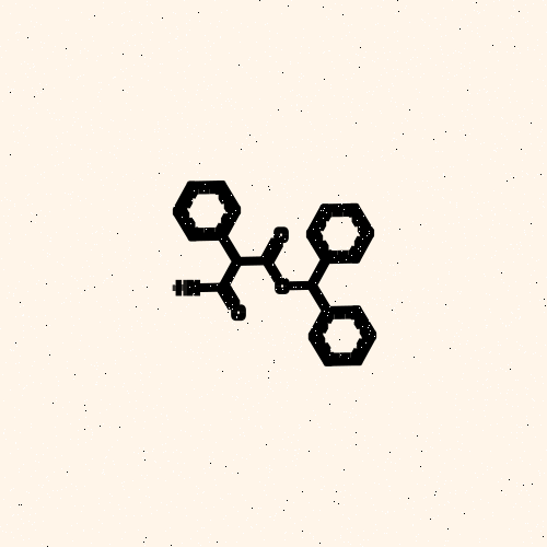 [NH]C(=O)C(C(=O)OC(c1ccccc1)c1ccccc1)c1ccccc1